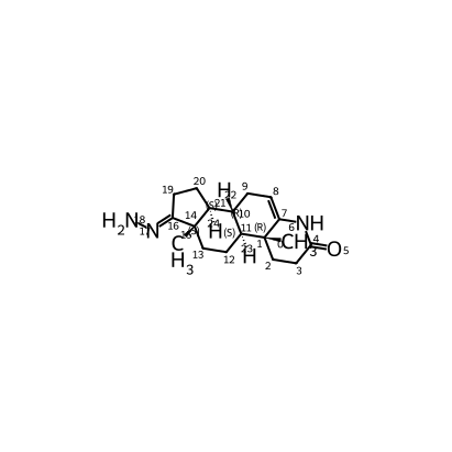 C[C@]12CCC(=O)NC1=CC[C@@H]1[C@@H]2CC[C@]2(C)C(=NN)CC[C@@H]12